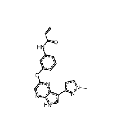 C=CC(=O)Nc1cccc(Oc2cnc3[nH]cc(-c4ccn(C)n4)c3n2)c1